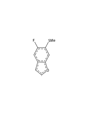 CSc1cc2o[c]cc2cc1F